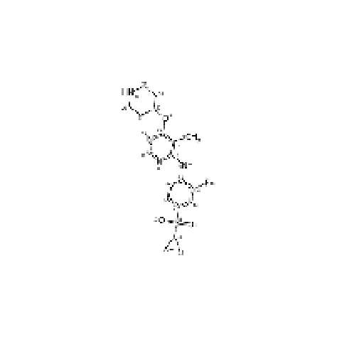 Cc1c(Nc2ccc(S(=O)(=O)C3CC3)cc2F)ncnc1OC1CCNCC1